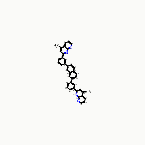 Cc1cc(-c2cccc(-c3ccc4ccc(-c5cccc(-c6cc(C)c7cccnc7n6)c5)cc4c3)c2)nc2ncccc12